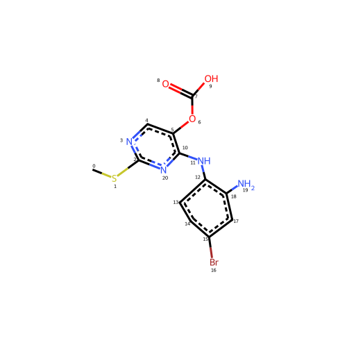 CSc1ncc(OC(=O)O)c(Nc2ccc(Br)cc2N)n1